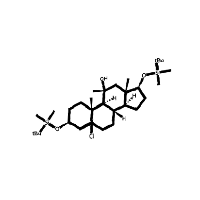 CC(C)(C)[Si](C)(C)O[C@H]1CC[C@]2(C)[C@@H]3[C@@H](CCC2(Cl)C1)[C@@H]1CC[C@H](O[Si](C)(C)C(C)(C)C)[C@@]1(C)C[C@@]3(C)O